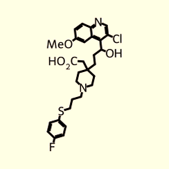 COc1ccc2ncc(Cl)c(C(O)CCC3(CC(=O)O)CCN(CCCSc4ccc(F)cc4)CC3)c2c1